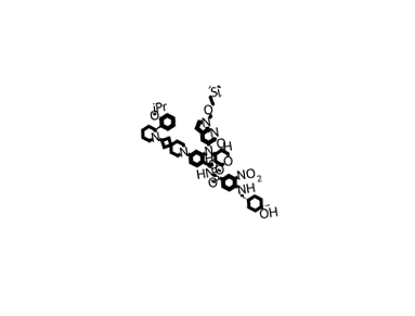 CC(C)Oc1ccccc1[C@@H]1CCCCN1C1CC2(CCN(c3ccc(C(=O)NS(=O)(=O)c4ccc(NC[C@H]5CC[C@](C)(O)CC5)c([N+](=O)[O-])c4)c(N4c5cc6ccn(COCC[Si](C)(C)C)c6nc5O[C@H]5COCC[C@@H]54)c3)CC2)C1